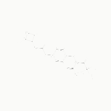 NC(=O)N(Cc1ccc(CC(=O)NC2CNC2O)cc1)C(=O)C(Cl)(Cl)Cl